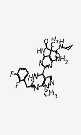 Cn1ncc2c1N=C(Cc1cccc(F)c1F)NC2c1nc(N)c2c(n1)NC(=O)C2(C)C(=O)NC1CC1